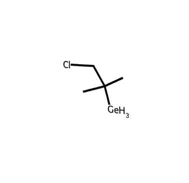 C[C](C)([GeH3])CCl